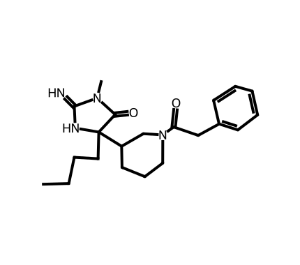 CCCCC1(C2CCCN(C(=O)Cc3ccccc3)C2)NC(=N)N(C)C1=O